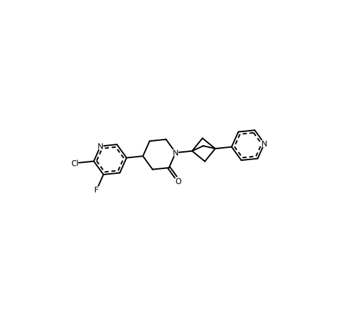 O=C1CC(c2cnc(Cl)c(F)c2)CCN1C12CC(c3ccncc3)(C1)C2